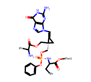 CCCC(C)OC(=O)C(CC(C)C)N[P@](=O)(OC[C@@]1(COC(=O)C(N)C(C)C)C/C1=C/n1cnc2c(=O)[nH]c(N)nc21)Oc1ccccc1